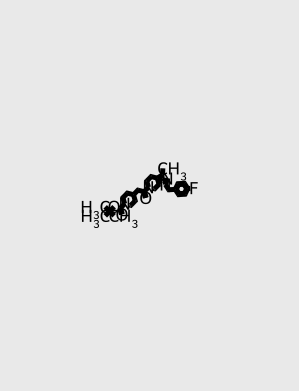 Cc1nn(Cc2ccc(F)cc2)c2c1CCN(C(=O)CC1CCN(C(=O)OC(C)(C)C)CC1)C2